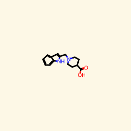 O=C(O)C1CCN(Cc2cc3ccccc3[nH]2)CC1